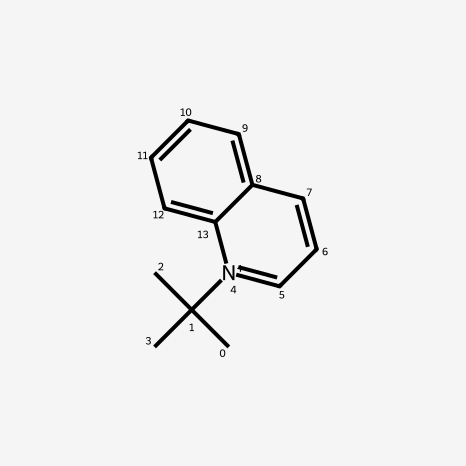 CC(C)(C)[n+]1cccc2ccccc21